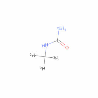 [2H]C([2H])([2H])NC(N)=O